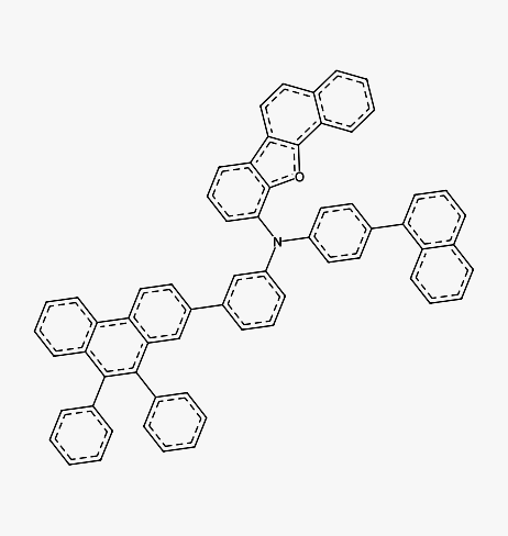 c1ccc(-c2c(-c3ccccc3)c3cc(-c4cccc(N(c5ccc(-c6cccc7ccccc67)cc5)c5cccc6c5oc5c7ccccc7ccc65)c4)ccc3c3ccccc23)cc1